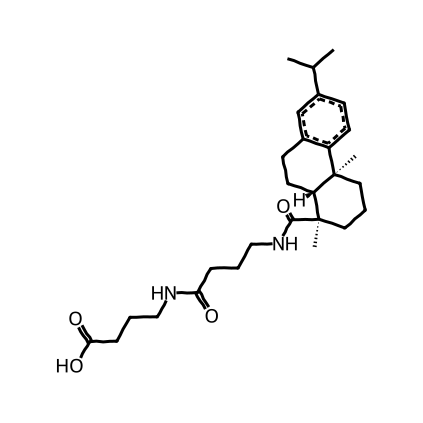 CC(C)c1ccc2c(c1)CC[C@H]1[C@](C)(C(=O)NCCCC(=O)NCCCC(=O)O)CCC[C@]21C